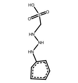 O=S(=O)(O)CNNNc1ccccc1